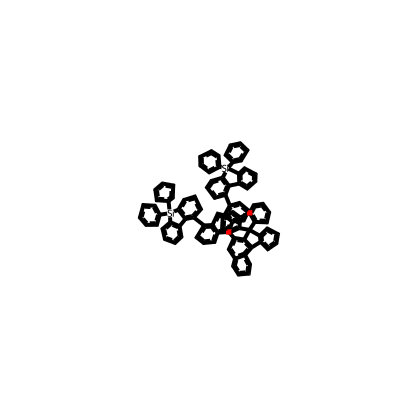 c1ccc([Si]2(c3ccccc3)c3ccccc3-c3c(-c4cccc5c(-c6cc7ccccc7c7c6C6(c8ccccc8-c8ccccc86)c6ccccc6-7)c6cccc(-c7cccc8c7-c7ccccc7[Si]8(c7ccccc7)c7ccccc7)c6cc45)cccc32)cc1